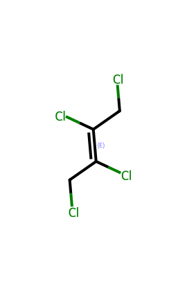 ClC/C(Cl)=C(\Cl)CCl